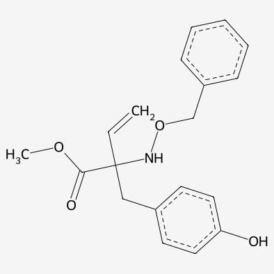 C=CC(Cc1ccc(O)cc1)(NOCc1ccccc1)C(=O)OC